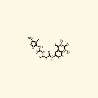 C=C1c2cc(NC(=O)CC(C)CC(=O)Nc3ccc(C#N)n3C)ccc2N(CC)C(=O)N1CC